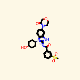 CS(=O)(=O)c1cccc(C(=O)/N=c2\[nH]c3cc(N4CCOCC4=O)ccc3n2[C@H]2CC[C@H](O)CC2)c1